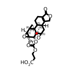 CC(C)[C@]12O[C@H]1[C@@H]1C[C@]13[C@]1(O[C@H]1C[C@H]1C4=C(CC[C@@]13C)C(=O)OC4)[C@@H]2OC(=O)OCCC(=O)O